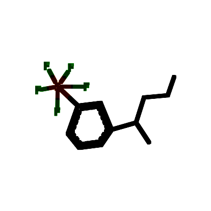 CCCC(C)c1cccc(S(F)(F)(F)(F)F)c1